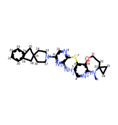 CN1c2nccc(Sc3ncc(N4CCC5(CC4)Cc4ccccc4C5)nc3N)c2OCCC12CC2